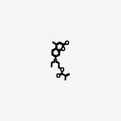 C=C(C)C(=O)OCCN(CC)c1ccc2c(C)cc(=O)oc2c1